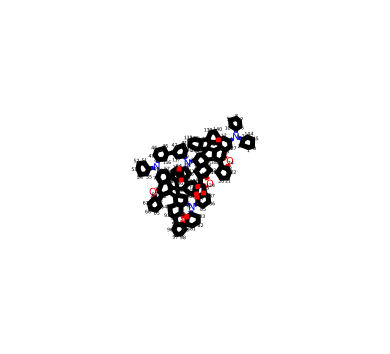 c1ccc(N(c2ccccc2)c2ccc3c4c(c5c6ccccc6oc5c3c2)-c2c(cc(N(c3ccccc3)c3cccc(-c5cccc(N(c6ccccc6)c6ccc7c8c(c9c%10ccccc%10oc9c7c6)-c6c(cc(N(c7ccccc7)c7ccccc7)c7c6ccc6c9ccccc9oc67)C86c7ccccc7-c7ccccc76)c5)c3)c3cc5c(cc23)oc2ccccc25)C42c3ccccc3-c3ccccc32)cc1